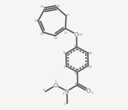 CON(C)C(=O)c1ccc(OC2=CC=CC#CC2)cc1